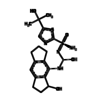 CC(C)(O)c1cnc([S@](N)(=O)=NC(O)Nc2c3c(cc4c2C(O)CC4)CCC3)s1